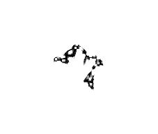 CC1(C)c2ccc(-c3ccnc(-c4cc(-c5ccc6c(c5)-c5cc(-c7cccc8c7sc7ccccc78)ccc5C6(C)C)ccn4)c3)cc2-c2cc(-c3cccc4c3sc3ccccc34)ccc21